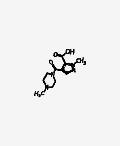 CN1CCN(C(=O)c2cnn(C)c2C(=O)O)CC1